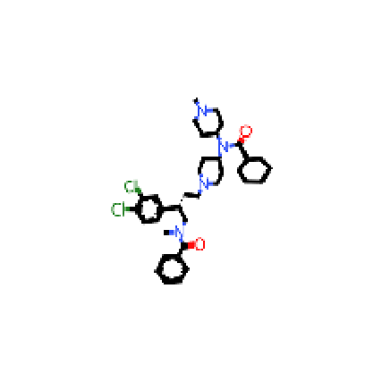 CN1CCC(N(C(=O)C2CCCCC2)C2CCN(CC[C@H](CN(C)C(=O)c3ccccc3)c3ccc(Cl)c(Cl)c3)CC2)CC1